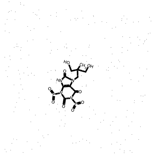 CC(CO)(CO)Cn1c(=O)[nH]c2c1c(=O)n(P(=O)=O)c(=O)n2P(=O)=O